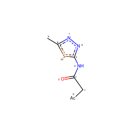 CC(=O)CC(=O)Nc1nnc(C)s1